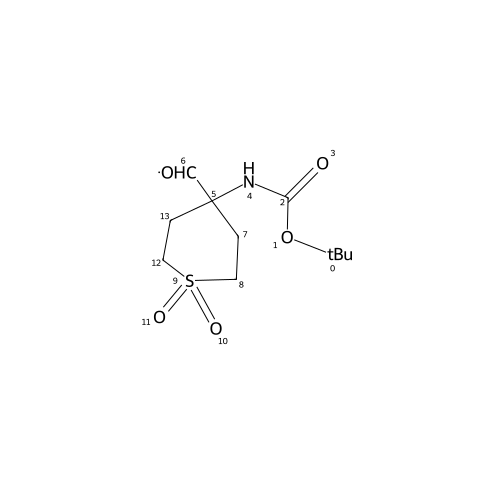 CC(C)(C)OC(=O)NC1([C]=O)CCS(=O)(=O)CC1